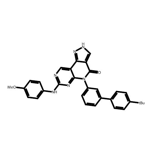 COc1ccc(Nc2ncc3c4n[nH]cc4c(=O)n(-c4cccc(-c5ccc(C(C)(C)C)cc5)c4)c3n2)cc1